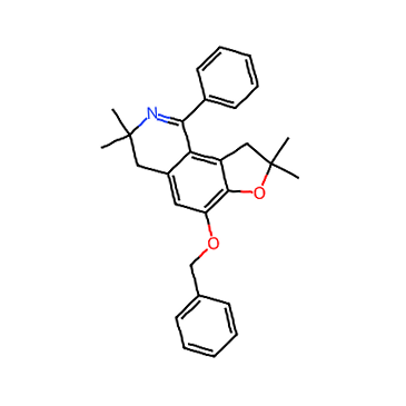 CC1(C)Cc2cc(OCc3ccccc3)c3c(c2C(c2ccccc2)=N1)CC(C)(C)O3